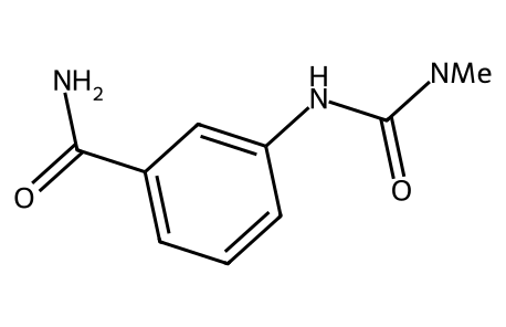 CNC(=O)Nc1cccc(C(N)=O)c1